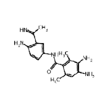 CC(=N)c1cc(NC(=O)c2c(C)cc(N)c(N)c2C)ccc1N